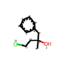 CC(O)([CH]c1ccccc1)CCCl